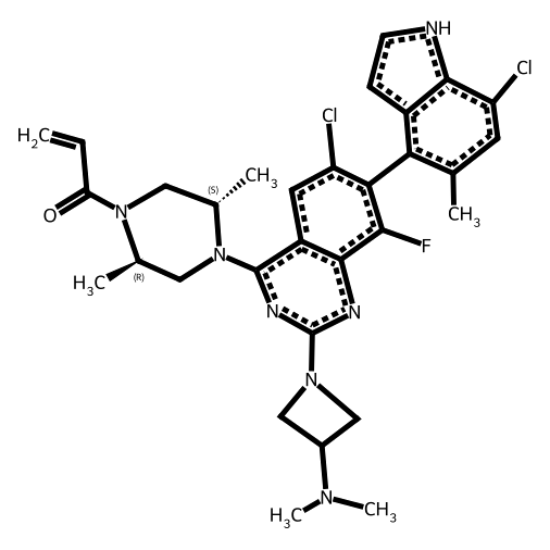 C=CC(=O)N1C[C@H](C)N(c2nc(N3CC(N(C)C)C3)nc3c(F)c(-c4c(C)cc(Cl)c5[nH]ccc45)c(Cl)cc23)C[C@H]1C